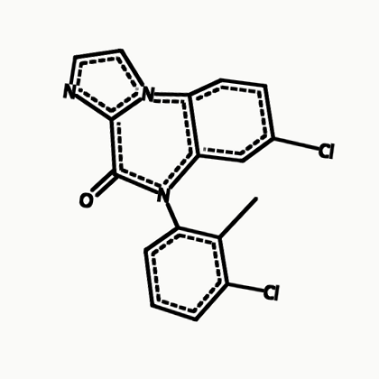 Cc1c(Cl)cccc1-n1c(=O)c2nccn2c2ccc(Cl)cc21